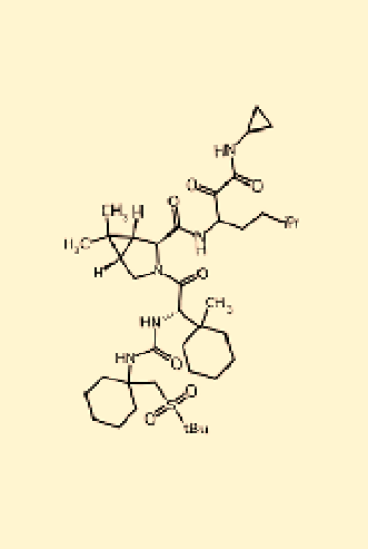 CC(C)CCC(NC(=O)[C@@H]1[C@@H]2[C@H](CN1C(=O)[C@@H](NC(=O)NC1(CS(=O)(=O)C(C)(C)C)CCCCC1)C1(C)CCCCC1)C2(C)C)C(=O)C(=O)NC1CC1